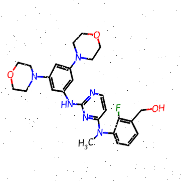 CN(c1ccnc(Nc2cc(N3CCOCC3)cc(N3CCOCC3)c2)n1)c1cccc(CO)c1F